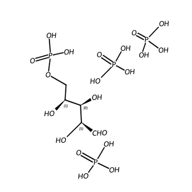 O=C[C@@H](O)[C@H](O)[C@@H](O)COP(=O)(O)O.O=P(O)(O)O.O=P(O)(O)O.O=P(O)(O)O